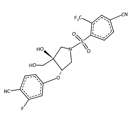 N#Cc1ccc(S(=O)(=O)N2C[C@H](Oc3ccc(C#N)c(F)c3)[C@](O)(CO)C2)c(C(F)(F)F)c1